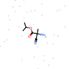 CC(C)OC(=O)C(C)(N)C#N